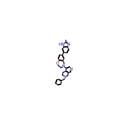 Cc1nc2ccc(-c3ccc4c(c3)CN(c3cncc5c3CCN(Cc3ccccc3)C5)CCO4)cc2[nH]1